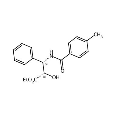 CCOC(=O)[C@@H](O)[C@@H](NC(=O)c1ccc(C)cc1)c1ccccc1